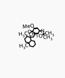 COC1=CC2=NC(C)(C)OC2=C(CC2(C)C(C)CCC3(C)CCCCC32)C1=O